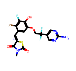 CN1C(=O)S/C(=C\c2cc(OCC(F)(F)c3cnc(N)nc3)c(O)c(F)c2Br)C1=O